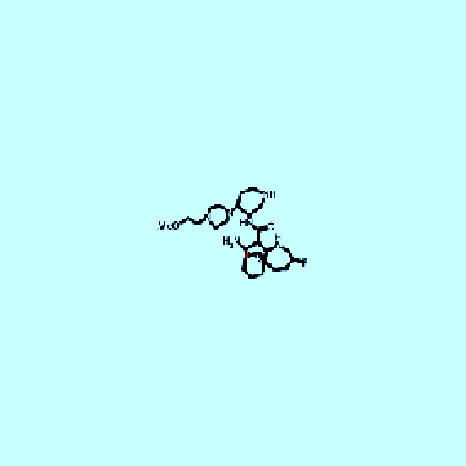 COCCN1CCN(C2CCNCC2NC(=O)C(C(N)N)C2NCC(F)CCC23CCCCC3)CC1